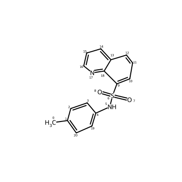 Cc1ccc(NS(=O)(=O)c2cccc3cccnc23)cc1